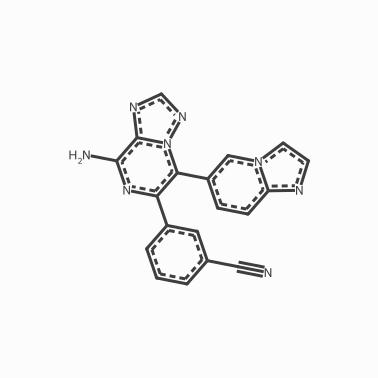 N#Cc1cccc(-c2nc(N)c3ncnn3c2-c2ccc3nccn3c2)c1